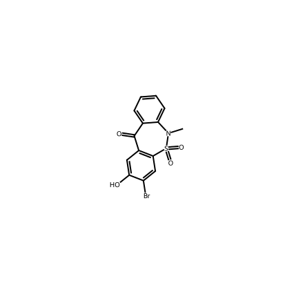 CN1c2ccccc2C(=O)c2cc(O)c(Br)cc2S1(=O)=O